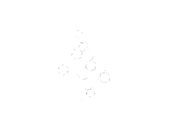 O=C(Cn1nc(C(F)F)c2c1C(F)(F)[C@@H]1C[C@H]21)N[C@@H](Cc1cc(F)cc(F)c1)c1nc(-c2nccc(C(F)F)n2)cc(=O)n1-c1ccc(Cl)c2c(NS(=O)(=O)C3CC3)nn(CC(F)F)c12